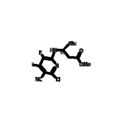 COC(=O)C[C@@H](Nc1nc(Cl)c(C#N)c(I)c1F)C(C)(C)C